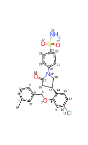 Cc1cccc(COc2cc(Cl)ccc2[C@H]2CC(=O)N(c3ccc(S(N)(=O)=O)cc3)C2)c1